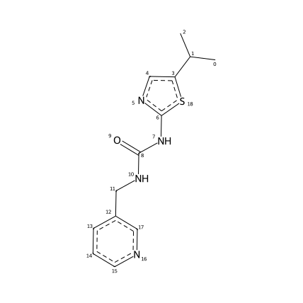 CC(C)c1cnc(NC(=O)NCc2cccnc2)s1